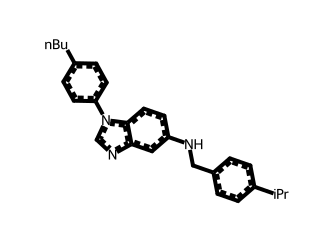 CCCCc1ccc(-n2cnc3cc(NCc4ccc(C(C)C)cc4)ccc32)cc1